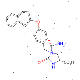 NC(=O)[N+]1(Cc2ccc(Oc3ccc4ccccc4c3)cc2)C[C@H](C(=O)O)NC1=O